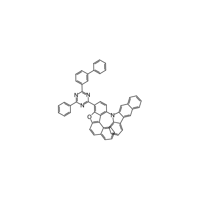 c1ccc(-c2cccc(-c3nc(-c4ccccc4)nc(-c4ccc(-n5c6ccccc6c6cc7ccccc7cc65)c5c4oc4ccc6ccccc6c45)n3)c2)cc1